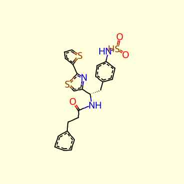 O=C(CCc1ccccc1)N[C@@H](Cc1ccc(N[SH](=O)=O)cc1)c1csc(-c2cccs2)n1